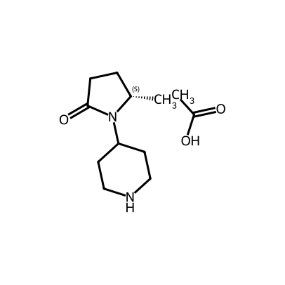 CC(=O)O.C[C@H]1CCC(=O)N1C1CCNCC1